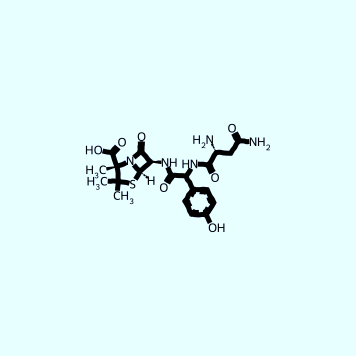 CC1(C)S[C@@H]2[C@H](NC(=O)C(NC(=O)[C@H](N)CC(N)=O)c3ccc(O)cc3)C(=O)N2[C@@]1(C)C(=O)O